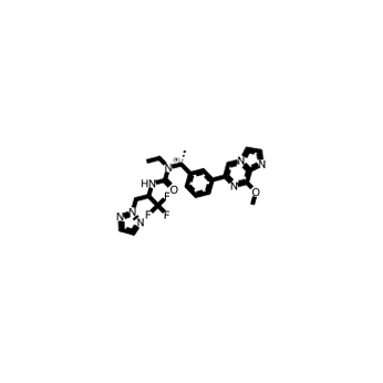 CCN(C(=O)NC(Cn1nccn1)C(F)(F)F)[C@H](C)c1cccc(-c2cn3ccnc3c(OC)n2)c1